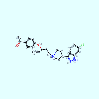 CCC(=O)c1ccc(OCCCN2CCC(c3n[nH]c4cc(Cl)ccc34)CC2)c(OC)c1